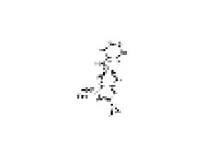 CC(C)Nc1nc(C2CC2)cc2cnc(NC3CCCCC3)nc12